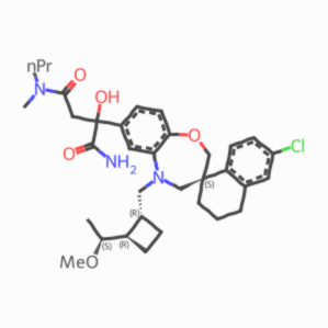 CCCN(C)C(=O)CC(O)(C(N)=O)c1ccc2c(c1)N(C[C@@H]1CC[C@H]1[C@H](C)OC)C[C@@]1(CCCc3cc(Cl)ccc31)CO2